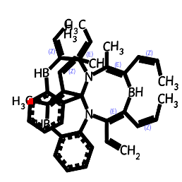 C=C/C1=C(\C=C/C)BC(/C=C\C)=C(/C)N2C(=C/C)/C(=C\C)Bc3ccccc3C23C(/C=C\C)=C(C)Bc2ccccc2N13